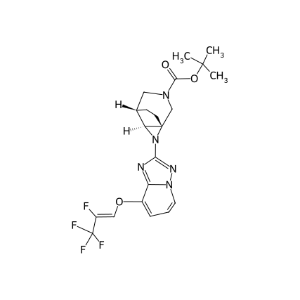 CC(C)(C)OC(=O)N1C[C@@H]2CC[C@]3(C1)[C@H]2N3c1nc2c(O/C=C(\F)C(F)(F)F)cccn2n1